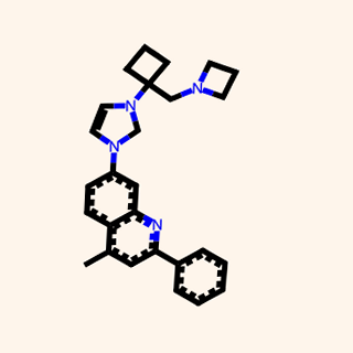 Cc1cc(-c2ccccc2)nc2cc(N3C=CN(C4(CN5CCC5)CCC4)C3)ccc12